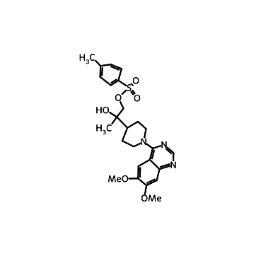 COc1cc2ncnc(N3CCC(C(C)(O)COS(=O)(=O)c4ccc(C)cc4)CC3)c2cc1OC